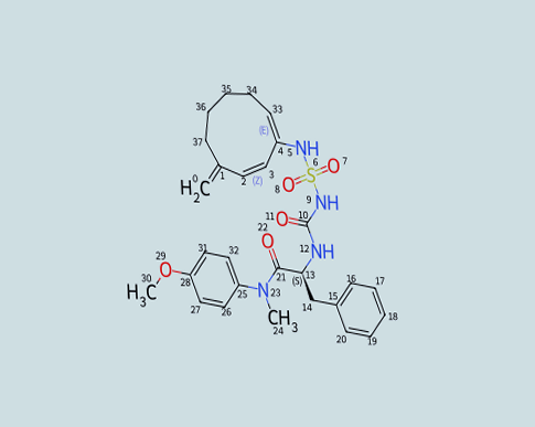 C=C1/C=C\C(NS(=O)(=O)NC(=O)N[C@@H](Cc2ccccc2)C(=O)N(C)c2ccc(OC)cc2)=C/CCCC1